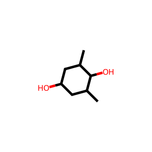 CC1CC(O)CC(C)C1O